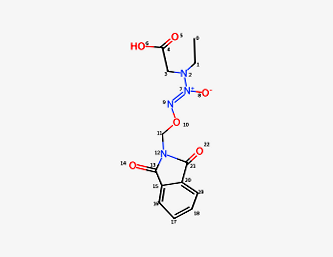 CCN(CC(=O)O)[N+]([O-])=NOCN1C(=O)c2ccccc2C1=O